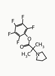 CC(C)(C(=O)Oc1c(F)c(F)c(F)c(F)c1F)N1CCCC1